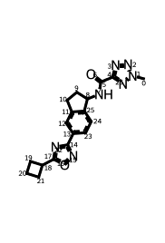 Cn1nnc(C(=O)NC2CCc3cc(-c4noc(C5CCC5)n4)ccc32)n1